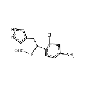 Nc1ccc(C(Cc2cn[nH]c2)OC=O)c(Cl)c1